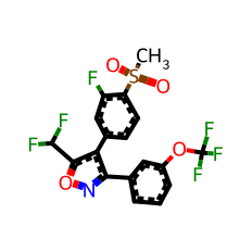 CS(=O)(=O)c1ccc(-c2c(-c3cccc(OC(F)(F)F)c3)noc2C(F)F)cc1F